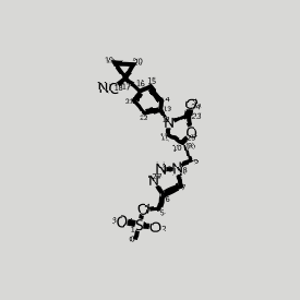 CS(=O)(=O)OCc1cn(C[C@H]2CN(c3ccc(C4(C#N)CC4)cc3)C(=O)O2)nn1